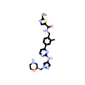 Cc1cc(-c2ccnc(Nc3cnn(C[C@@H]4CNCCO4)c3)n2)ccc1CNC(=O)c1cnc(C(C)(C)C)s1